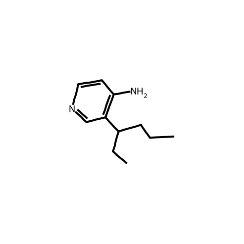 CCCC(CC)c1cnccc1N